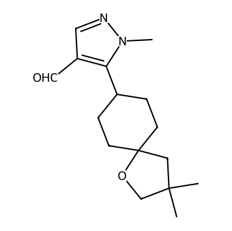 Cn1ncc(C=O)c1C1CCC2(CC1)CC(C)(C)CO2